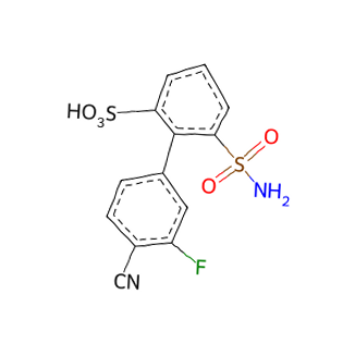 N#Cc1ccc(-c2c(S(N)(=O)=O)cccc2S(=O)(=O)O)cc1F